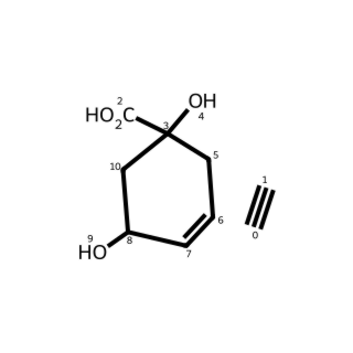 C#C.O=C(O)C1(O)CC=CC(O)C1